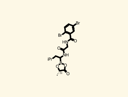 CC(C)CC(NC(=O)CNC(=O)c1cc(Br)ccc1Br)B1OC(=O)[C@H](C)O1